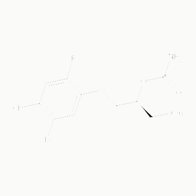 CC(C)(C)C[C@@H](COc1cc(Br)c(Cl)cc1F)OC(N)=O